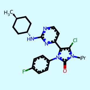 CC(C)n1c(Cl)c(-c2ccnc(N[C@H]3CC[C@H](C)CC3)n2)n(-c2ccc(F)cc2)c1=O